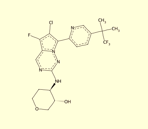 CC(C)(c1ccc(-c2c(Cl)c(F)c3cnc(N[C@@H]4CCOC[C@H]4O)nn23)nc1)C(F)(F)F